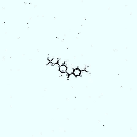 C[C@@H]1CN(C(=O)OC(C)(C)C)[C@@H](C)CN1C(=O)c1ccc(C(F)F)cc1